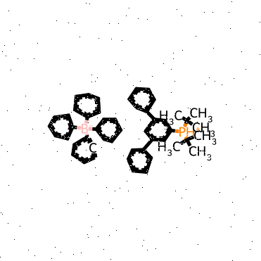 CC(C)(C)[PH+](c1cc(-c2ccccc2)cc(-c2ccccc2)c1)C(C)(C)C.c1ccc([B-](c2ccccc2)(c2ccccc2)c2ccccc2)cc1